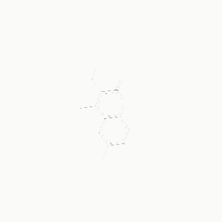 CCOC(=O)Cc1c(C)c2cc(C)c(O)cc2oc1=O